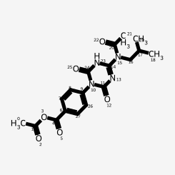 CC(=O)OC(=O)c1ccc(-n2c(=O)nc(N(CC(C)C)C(C)=O)[nH]c2=O)cc1